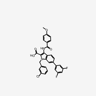 COc1ccc(C(=O)Nc2c(C(=O)O)n(Cc3cccc(Cl)c3)c3cc(-c4cc(F)cc(F)c4)ccc23)cc1